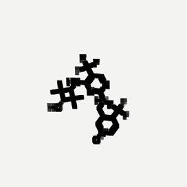 CC1(C)[C@H](O)C(C)(C)[C@H]1Nc1nc(NCc2c[n+]([O-])ccc2C(F)(F)F)ncc1C(F)(F)F